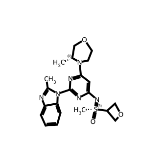 Cc1nc2ccccc2n1-c1nc(N=[S@](C)(=O)C2COC2)cc(N2CCOC[C@H]2C)n1